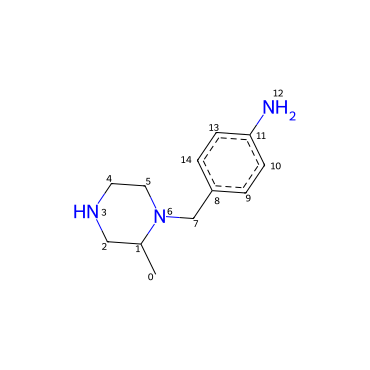 CC1CNCCN1Cc1ccc(N)cc1